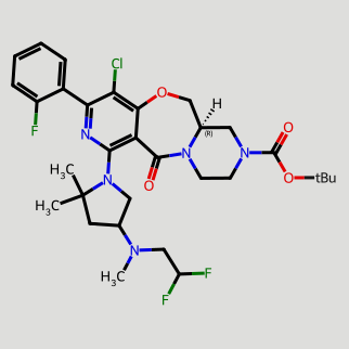 CN(CC(F)F)C1CN(c2nc(-c3ccccc3F)c(Cl)c3c2C(=O)N2CCN(C(=O)OC(C)(C)C)C[C@@H]2CO3)C(C)(C)C1